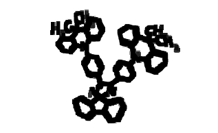 CC1(C)c2ccccc2N(c2ccc(C3=NC4(N=C3c3ccc(N5c6ccccc6C(C)(C)c6ccccc65)cc3)c3ccccc3-c3ccccc34)cc2)c2ccccc21